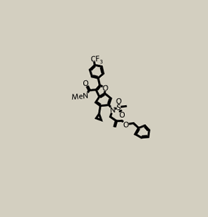 C=C(COCc1ccccc1)CN(c1cc2oc(-c3ccc(C(F)(F)F)cc3)c(C(=O)NC)c2cc1C1CC1)S(C)(=O)=O